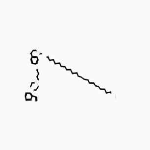 CCCCCCCCCCCCCCCCCCCCCCCC(=O)OCN1C(=O)CC(C)(C)c2ccc(OCCCCN3CCN(c4cccc5sccc45)CC3)cc21